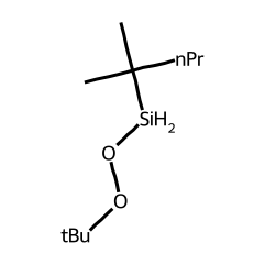 CCCC(C)(C)[SiH2]OOC(C)(C)C